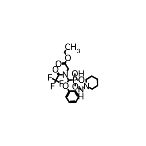 CCOC(=O)CN(C(=O)C(F)(F)F)C(Oc1ccccc1)P(=O)(O)ONN1CCCCC1